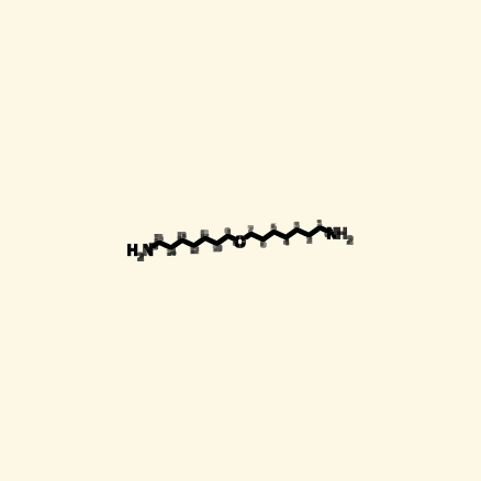 NCCCCCCCOCCCCCCCN